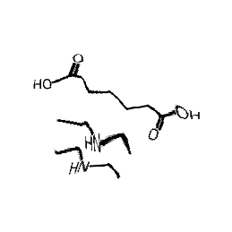 CCNCC.CCNCC.O=C(O)CCCCC(=O)O